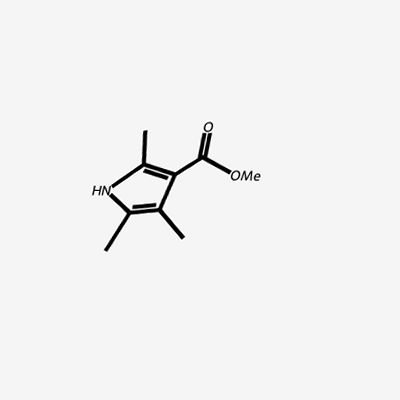 COC(=O)c1c(C)[nH]c(C)c1C